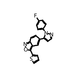 Fc1ccc(-n2nccc2-c2ccc3noc(-c4cccs4)c3c2)cc1